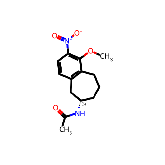 COc1c([N+](=O)[O-])ccc2c1CCC[C@H](NC(C)=O)C2